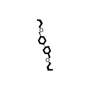 C/C=C\COCC1CCC([C@H]2CC[C@H](COC/C=C\C)CC2)CC1